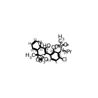 CC(C)N(c1c(Cl)ccc(C2=C(O)c3ncccc3C(C)(C)S2(=O)=O)c1Cl)S(C)(=O)=O